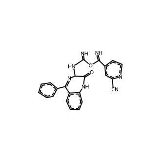 N#Cc1cc(C(=N)OC(=N)NC2N=C(c3ccccc3)c3ccccc3NC2=O)ccn1